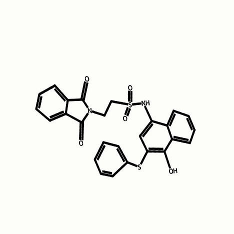 O=C1c2ccccc2C(=O)N1CCS(=O)(=O)Nc1cc(Sc2ccccc2)c(O)c2ccccc12